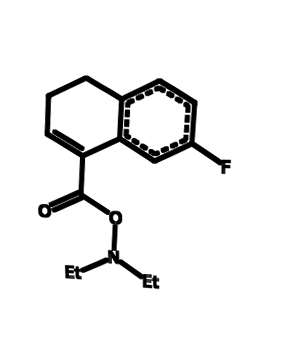 CCN(CC)OC(=O)C1=CCCc2ccc(F)cc21